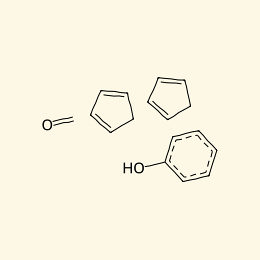 C1=CCC=C1.C1=CCC=C1.C=O.Oc1ccccc1